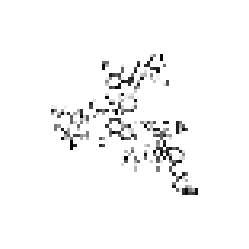 CC(C)OP(=O)(Oc1cccc(CC(=O)OC(C)(C)C)c1C(C)(C)CC(=O)NS(=O)(=O)Cc1nn(CC(F)(F)F)c2c(-c3ccc(C#CC(C)(C)S(C)(=O)=O)nc3[C@H](Cc3cc(F)cc(F)c3)NC(=O)Cn3nc(C(F)(F)F)c4c3C(F)(F)[C@@H]3C[C@H]43)ccc(Cl)c12)OC(C)C